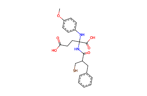 COc1ccc(NC(CCC(=O)O)(NC(=O)C(CS)Cc2ccccc2)C(=O)O)cc1